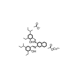 CC(=O)[O-].CC(=O)[O-].CCc1cc(C(C)CC)cc(C=Nc2cc3ccccc3cc2N=Cc2cc(C(C)CC)cc(CC)c2O)c1O.[Co+2]